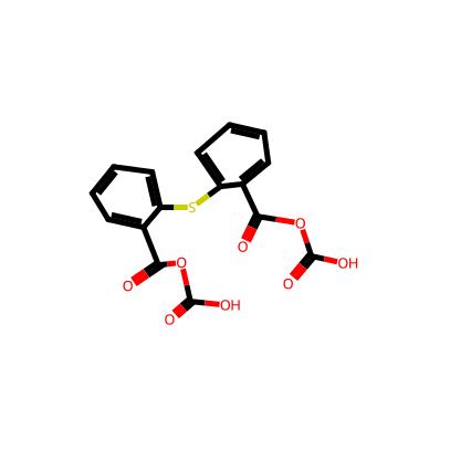 O=C(O)OC(=O)c1ccccc1Sc1ccccc1C(=O)OC(=O)O